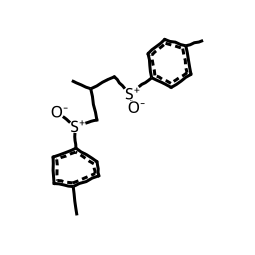 Cc1ccc([S+]([O-])CC(C)C[S+]([O-])c2ccc(C)cc2)cc1